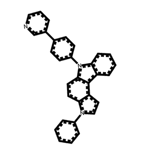 c1ccc(-n2ccc3c4c5ccccc5n(-c5ccc(-c6cccnc6)cc5)c4ccc32)cc1